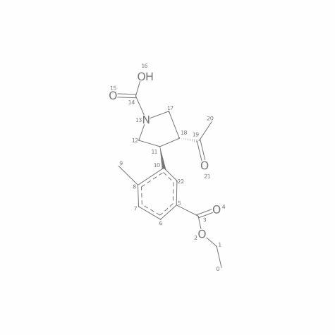 CCOC(=O)c1ccc(C)c([C@H]2CN(C(=O)O)C[C@@H]2C(C)=O)c1